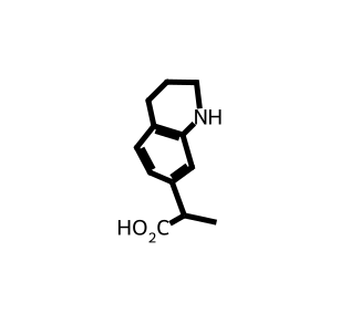 CC(C(=O)O)c1ccc2c(c1)NCCC2